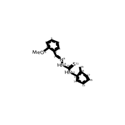 COc1ccccc1/C=N/NC(=S)Nc1ccccc1C